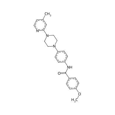 COc1ccc(C(=O)Nc2ccc(N3CCN(c4cc(C)ccn4)CC3)cc2)cc1